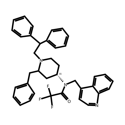 O=C(N(Cc1ccnc2ccccc12)[C@H]1CCN(CC(c2ccccc2)c2ccccc2)C(Cc2ccccc2)C1)C(F)(F)F